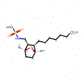 CCCCCCS(=O)(=O)NC[C@H]1[C@@H](CCCCCCC(=O)O)[C@H]2CC[C@@H]1O2